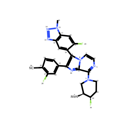 CN[C@H]1CN(c2nccn3c(-c4cc5nnn(C)c5cc4F)c(-c4ccc(C#N)c(F)c4)nc23)CC[C@H]1F